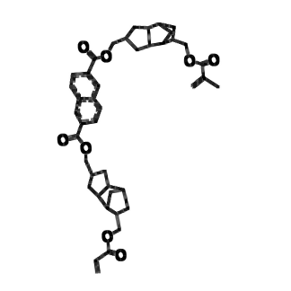 C=CC(=O)OCC1CC2CC1C1CC(COC(=O)c3ccc4cc(C(=O)OCC5CC6C7CC(COC(=O)C(=C)C)C(C7)C6C5)ccc4c3)CC21